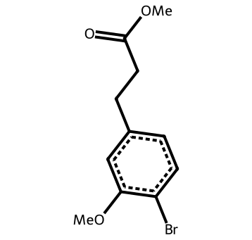 COC(=O)CCc1ccc(Br)c(OC)c1